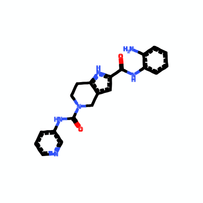 Nc1ccccc1NC(=O)c1cc2c([nH]1)CCN(C(=O)Nc1cccnc1)C2